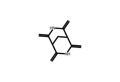 C=C1NC(=C)C2CC1C(=C)NC2=C